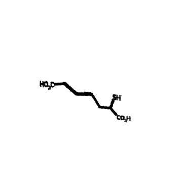 O=C(O)CCCCC(S)C(=O)O